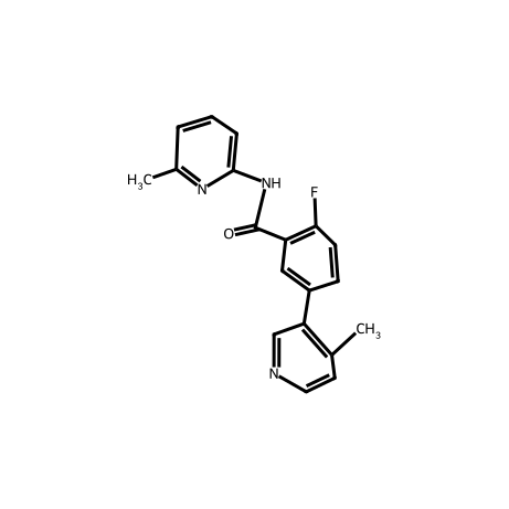 Cc1cccc(NC(=O)c2cc(-c3cnccc3C)ccc2F)n1